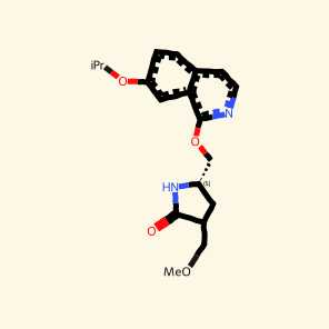 COCC1C[C@@H](COc2nccc3ccc(OC(C)C)cc23)NC1=O